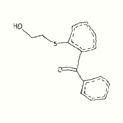 O=C(c1ccccc1)c1ccccc1SCCO